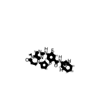 CN1C(=O)CCN(C2CCCC2)c2nc(Nc3cc(F)c(C(=O)NC4C[C@H]5CCC[C@@H](C4)N5C)cc3F)ncc21